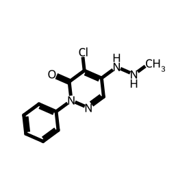 CNNc1cnn(-c2ccccc2)c(=O)c1Cl